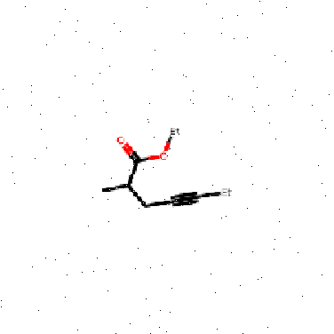 CCC#CCC(C)C(=O)OCC